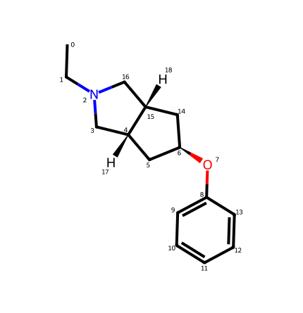 CCN1C[C@H]2C[C@H](Oc3ccccc3)C[C@H]2C1